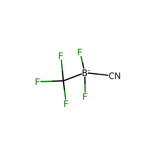 N#C[B-](F)(F)C(F)(F)F